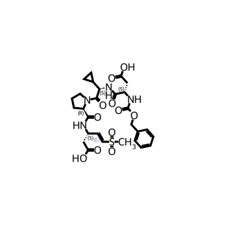 CS(=O)(=O)/C=C/[C@H](CC(=O)O)NC(=O)[C@H]1CCCN1C(=O)[C@@H](NC(=O)[C@H](CC(=O)O)NC(=O)OCc1ccccc1)C1CC1